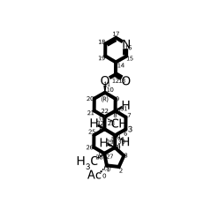 CC(=O)[C@H]1CC[C@H]2[C@@H]3CC[C@H]4C[C@H](OC(=O)C5C=NC=CC5)CC[C@]4(C)[C@H]3CC[C@]12C